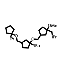 COC1(CC(C)C)CCC(COC2(C(C)(C)C)CCC(COC3(C(C)C)CCCC3)C2)C1